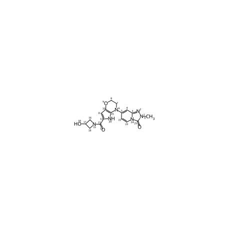 Cn1nc2cc(N3CCOc4cc(C(=O)N5CC(O)C5)[nH]c43)ccn2c1=O